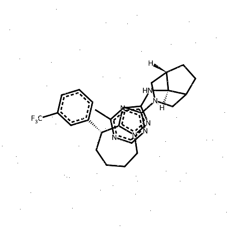 Cc1cc(N2CC3CC[C@@H](C2)[C@@H]3Nc2nc3n(n2)CCCC[C@@H]3c2cccc(C(F)(F)F)c2)ncn1